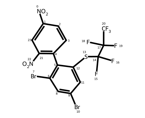 O=[N+]([O-])c1ccc(-c2c(Br)[c]c(Br)cc2SC(F)(F)C(F)(F)C(F)(F)F)c([N+](=O)[O-])c1